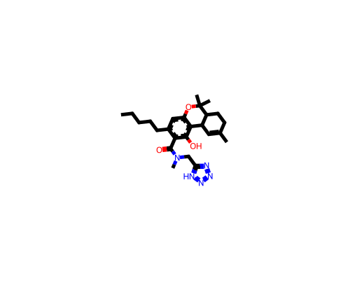 CCCCCc1cc2c(c(O)c1C(=O)N(C)Cc1nnn[nH]1)C1C=C(C)CCC1C(C)(C)O2